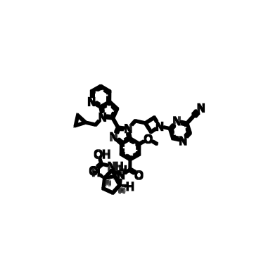 COc1cc(C(=O)N2C[C@H]3CC[C@@H]2[C@@H]3NC(=O)O)cc2nc(-c3cc4cccnc4n3CC3CC3)n(CC3CN(c4cncc(C#N)n4)C3)c12